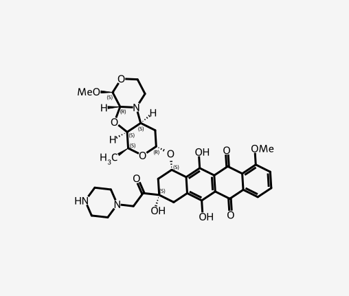 COc1cccc2c1C(=O)c1c(O)c3c(c(O)c1C2=O)C[C@@](O)(C(=O)CN1CCNCC1)C[C@@H]3O[C@H]1C[C@H]2[C@H](O[C@@H]3[C@@H](OC)OCCN32)[C@H](C)O1